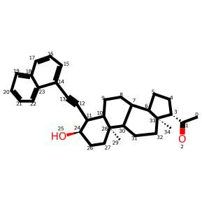 CC(=O)[C@H]1CCC2C3CCC4C(C#Cc5cccc6ccccc56)[C@H](O)CC[C@]4(C)C3CC[C@@]21C